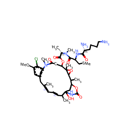 COc1cc2cc(c1Cl)N(C)C(=O)CC(OC(=O)[C@H](C)N(C)C(=O)C(CSC)NC(=O)[C@H](N)CCCCN)C1(C)OC1C(C)C1CC(O)(NC(=O)O1)C(C)/C=C/C=C(\C)C2